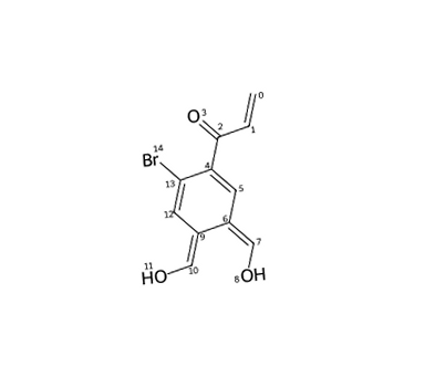 C=CC(=O)c1cc(=CO)c(=CO)cc1Br